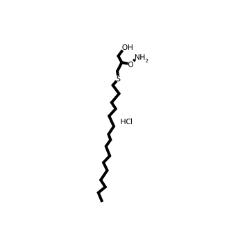 CCCCCCCCCCCCCCCCSCC(CO)ON.Cl